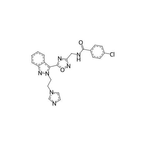 O=C(NCc1noc(-c2c3ccccc3nn2CCn2ccnc2)n1)c1ccc(Cl)cc1